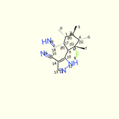 C[C@@H]1[C@@H](C)[C@H](C)[C@](C)(F)C(c2[nH]ncc2C#N)[C@@H]1C=N